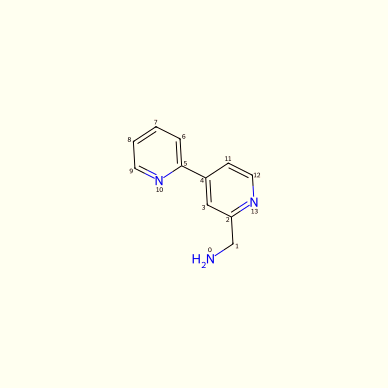 NCc1cc(-c2ccccn2)ccn1